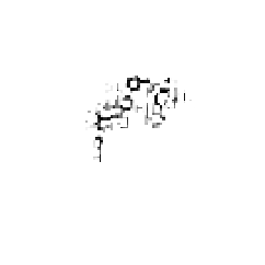 N#Cc1ccc(Cn2nc(-c3[nH]c4ncccc4c3Cl)c3c(N)ncnc32)cc1-c1ccc2c(Cl)c(-c3nn(C4CNC4)c4ncnc(N)c34)[nH]c2n1